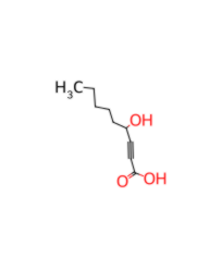 CCCCCC(O)C#CC(=O)O